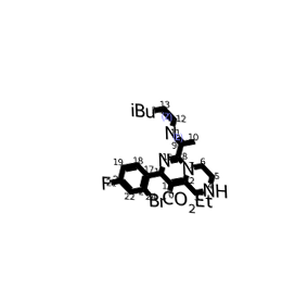 CCOC(=O)C1=C2CNCCN2C(/C(C)=N/C=C\C(C)CC)=NC1c1ccc(F)cc1Br